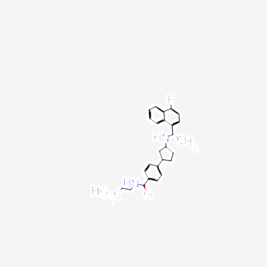 C[C@@H](NC1CCC(c2ccc(C(=O)NCCC(=O)O)cc2)C1)c1ccc(F)c2ccccc12